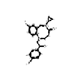 O=C(CN1CCC(=O)N(C2CC2)Cc2cc(F)ccc21)c1ccc(F)cc1